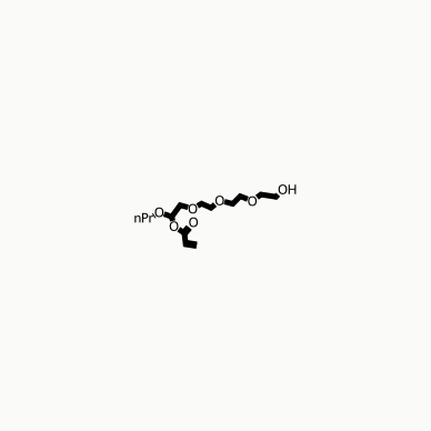 C=CC(=O)OC(COCCOCCOCCO)OCCC